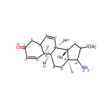 CC(=O)OC1C[C@H]2[C@@H]3C=CC4CC(=O)C=C[C@]4(C)[C@@H]3CC[C@]2(C)C1N